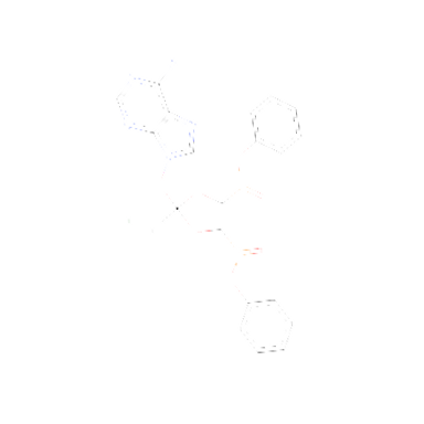 CC(OC[PH](=O)Oc1ccccc1)(OC[PH](=O)Oc1ccccc1)On1cnc2c(N)ncnc21.Cl